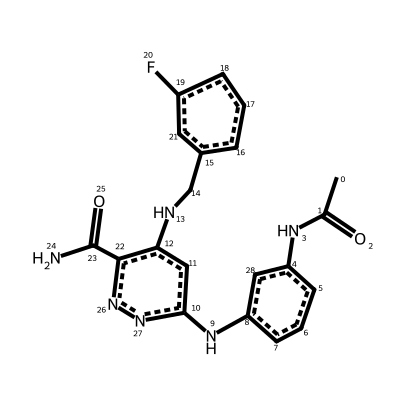 CC(=O)Nc1cccc(Nc2cc(NCc3cccc(F)c3)c(C(N)=O)nn2)c1